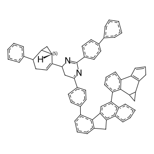 C1=CC2=C(C1)C1CC1c1c2cccc1-c1cc2c(c3ccccc13)Cc1cccc(-c3ccc(C4=NC(c5ccc(-c6ccccc6)cc5)=NC(C5=CCC(c6ccccc6)C6C[C@H]56)C4)cc3)c1-2